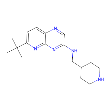 CC(C)(C)c1ccc2ncc(NCC3CCNCC3)nc2n1